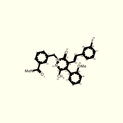 CNC(=O)c1cccc(Cn2nc(C)c(-c3ccccc3OC)c(/C=C/c3cccc(F)c3)c2=O)c1